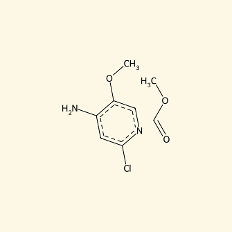 COC=O.COc1cnc(Cl)cc1N